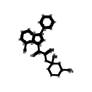 CC1CCCC(O)(CC(=N)C(=O)c2cc(-c3ccccc3)n3cccc(Cl)c23)C1